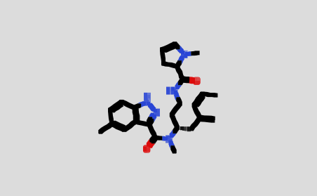 C=C(/C=C\C)C[C@@H](CCNC(=O)C1CC=CN1C)N(C)C(=O)c1n[nH]c2ccc(C)cc12